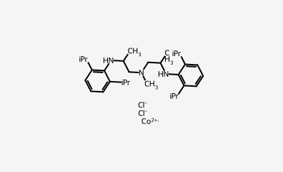 CC(CN(C)CC(C)Nc1c(C(C)C)cccc1C(C)C)Nc1c(C(C)C)cccc1C(C)C.[Cl-].[Cl-].[Co+2]